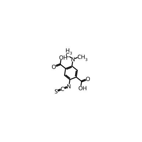 CN(C)c1cc(C(=O)O)c(N=C=S)cc1C(=O)O